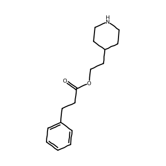 O=C(CCc1ccccc1)OCCC1CCNCC1